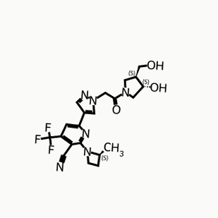 C[C@H]1CCN1c1nc(-c2cnn(CC(=O)N3C[C@@H](CO)[C@H](O)C3)c2)cc(C(F)(F)F)c1C#N